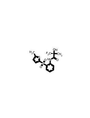 Cc1ccc(S(=O)(=O)c2ccccc2NC(=O)[C@@](C)(O)C(F)(F)F)s1